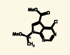 COC(=O)c1cn([C@@H](C)OC)c2ncnc(Cl)c12